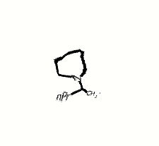 [CH2]C(CCC)N1CCCCC1